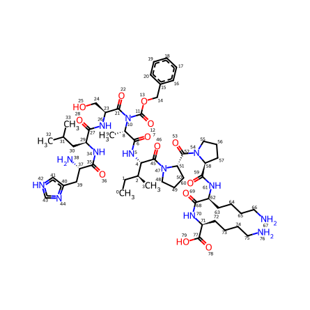 CC[C@H](C)[C@H](NC(=O)[C@H](C)N(C(=O)OCc1ccccc1)C(=O)[C@H](CO)NC(=O)[C@H](CC(C)C)NC(=O)[C@@H](N)Cc1c[nH]cn1)C(=O)N1CCC[C@H]1C(=O)N1CCC[C@H]1C(=O)N[C@@H](CCCCN)C(=O)N[C@@H](CCCCN)C(=O)O